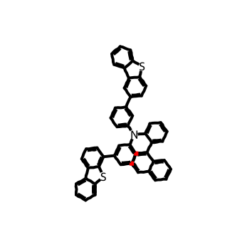 c1cc(-c2ccc3sc4ccccc4c3c2)cc(N(c2cccc(-c3cccc4c3sc3ccccc34)c2)c2ccccc2-c2cccc3ccccc23)c1